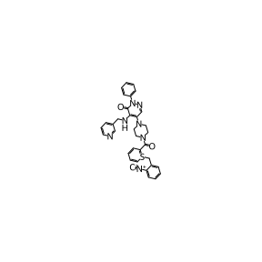 [C-]#[N+]c1ccccc1CS1=C(C(=O)N2CCN(c3cnn(-c4ccccc4)c(=O)c3NCc3cccnc3)CC2)C=CC=C1